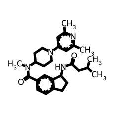 Cc1cc(N2CCC(N(C)C(=O)c3ccc4c(c3)C(NC(=O)CC(C)C)CC4)CC2)cc(C)n1